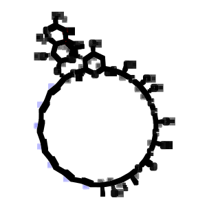 C[C@@H]1[C@H](O)[C@@H](C)/C=C/C=C/C=C/C=C/C=C/C=C/C=C/[C@H](O[C@@H]2O[C@H](C)[C@@H](O)[C@H](N)[C@H]2O)C[C@@H]2O[C@](O)(C[C@@H](O)C[C@@H](O)[C@H](O)CC[C@@H](O)C[C@@H](O)CC(=O)O[C@H]1C)C[C@H](O)[C@H]2C(=O)NCCC(N)=O